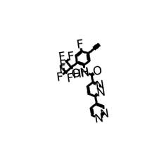 C#Cc1cc(NC(=O)c2ccc(-c3ccnnc3)nn2)c(C(O)(C(F)(F)F)C(F)(F)F)cc1F